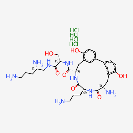 Cl.Cl.Cl.Cl.NCCC[C@H](N)CNC(=O)[C@H](CO)NC(=O)[C@@H]1Cc2cc(ccc2O)-c2ccc(O)c(c2)C[C@H](N)C(=O)N[C@@H](CCCN)C(=O)N1